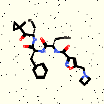 COC[C@H](NC(=O)c1cc(CN2CCC2)on1)C(=O)N[C@@H](Cc1ccccc1)C(=O)N[C@@H](CC(C)C)C(=O)C1(C)CC1